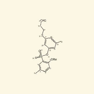 COc1ccc(C)cc1S(=O)(=O)Oc1cc(C)cc(OCCC=O)c1